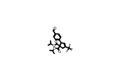 CC(C)OC(=O)C1(C(=O)OC(C)C)CC(C(F)(F)F)=CC1c1ccc(C=O)cc1